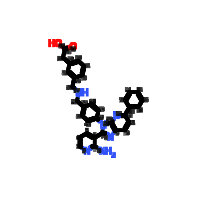 Nc1ncccc1-c1nc2ccc(-c3ccccc3)nc2n1-c1ccc(CNCc2cccc(CC(=O)O)c2)cc1